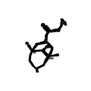 CC(C)(C)OC(=O)N1C[C@H]2CNC[C@@](C)(C1)C2O